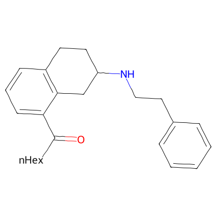 CCCCCCC(=O)c1cccc2c1CC(NCCc1ccccc1)CC2